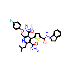 CC(C)Cc1nc(COc2ccc(F)cc2)c(C(=O)NN)c(-c2ccc(C(=O)N[C@@H]3CCc4ccccc43)s2)c1C(N)=O